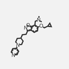 CN(C)Cc1c(OCC2CC2)ccc2c(CCC3CCN(c4ccncc4)CC3)noc12